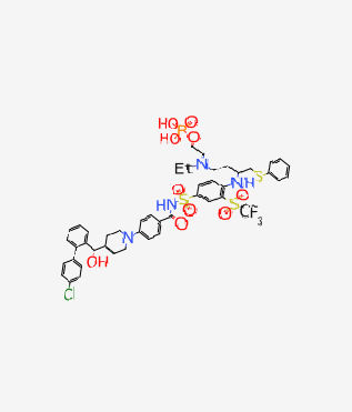 CCN(CCOP(=O)(O)O)CCC(CSc1ccccc1)Nc1ccc(S(=O)(=O)NC(=O)c2ccc(N3CCC([C@H](O)c4ccccc4-c4ccc(Cl)cc4)CC3)cc2)cc1S(=O)(=O)C(F)(F)F